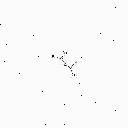 O=C(O)[13CH2]C(=O)O